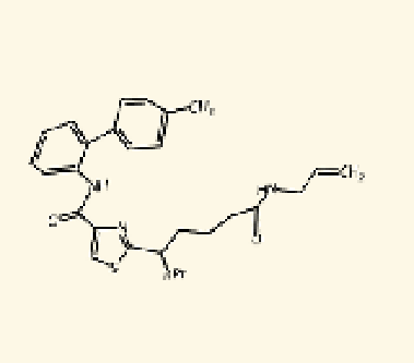 C=CCNC(=O)CCCC(CCC)c1nc(C(=O)Nc2ccccc2-c2ccc(C)cc2)cs1